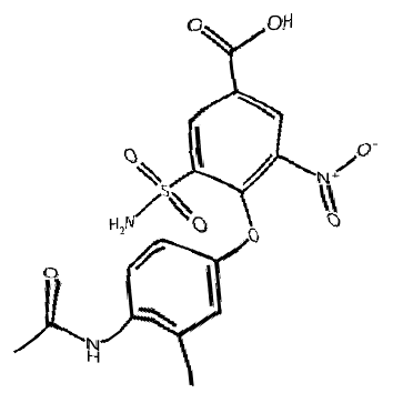 CC(=O)Nc1ccc(Oc2c([N+](=O)[O-])cc(C(=O)O)cc2S(N)(=O)=O)cc1C